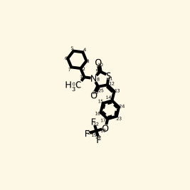 CC(C1CCCCC1)N1C(=O)SC(=Cc2ccc(OC(F)(F)F)cc2)C1=O